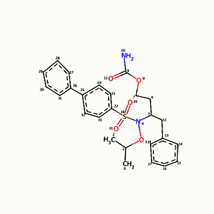 CC(C)ON(C(CCOC(N)=O)Cc1ccccc1)S(=O)(=O)c1ccc(-c2ccccc2)cc1